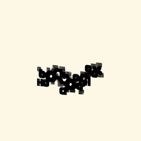 COc1cc2c(cc1O)C1Cc3c(Cl)cc(OC)c(OC(=O)CNC(=O)OC(C)(C)C)c3CN1CC2